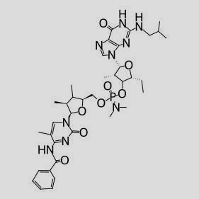 CC[C@H]1O[C@@H](n2cnc3c(=O)[nH]c(NCC(C)C)nc32)[C@@H](C)C1OP(=O)(OC[C@H]1O[C@@H](n2cc(C)c(NC(=O)c3ccccc3)nc2=O)[C@@H](C)C1C)N(C)C